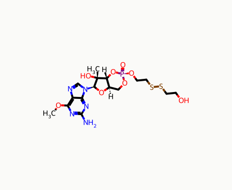 COc1nc(N)nc2c1ncn2[C@@H]1O[C@@H]2CO[P@](=O)(OCCSSCCO)O[C@H]2[C@@]1(C)O